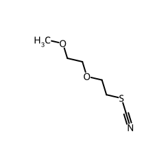 COCCOCCSC#N